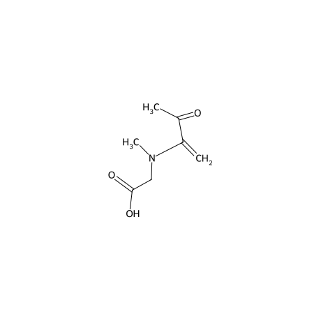 C=C(C(C)=O)N(C)CC(=O)O